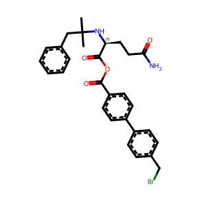 CC(C)(Cc1ccccc1)N[C@@H](CCC(N)=O)C(=O)OC(=O)c1ccc(-c2ccc(CBr)cc2)cc1